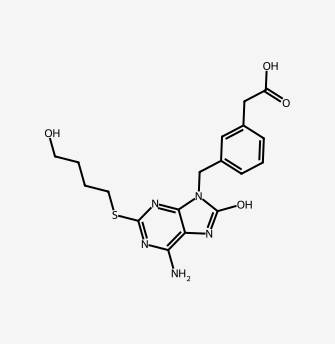 Nc1nc(SCCCCO)nc2c1nc(O)n2Cc1cccc(CC(=O)O)c1